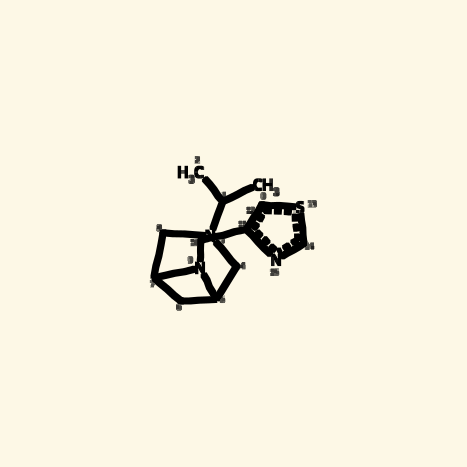 CC(C)N1CC2CC(C1)N2Cc1cscn1